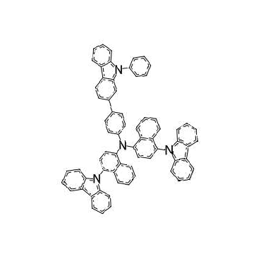 c1ccc(-n2c3ccccc3c3ccc(-c4ccc(N(c5ccc(-n6c7ccccc7c7ccccc76)c6ccccc56)c5ccc(-n6c7ccccc7c7ccccc76)c6ccccc56)cc4)cc32)cc1